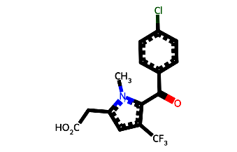 Cn1c(CC(=O)O)cc(C(F)(F)F)c1C(=O)c1ccc(Cl)cc1